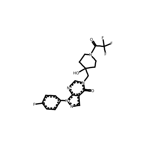 O=C(N1CCC(O)(Cn2cnc3c(cnn3-c3ccc(F)cc3)c2=O)CC1)C(F)(F)F